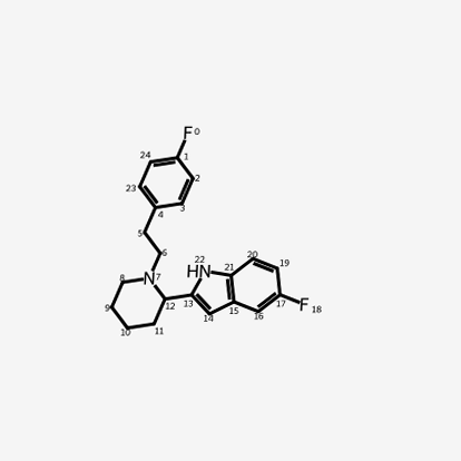 Fc1ccc(CCN2CCCCC2c2cc3cc(F)ccc3[nH]2)cc1